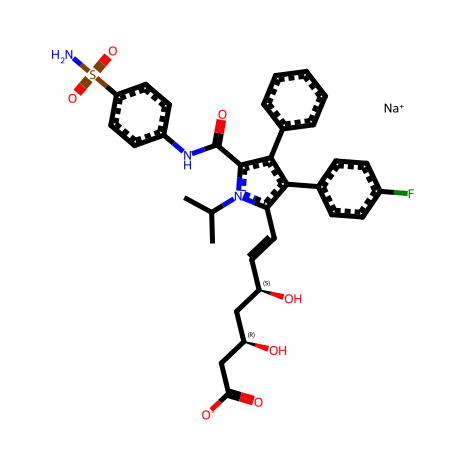 CC(C)n1c(C=C[C@@H](O)C[C@@H](O)CC(=O)[O-])c(-c2ccc(F)cc2)c(-c2ccccc2)c1C(=O)Nc1ccc(S(N)(=O)=O)cc1.[Na+]